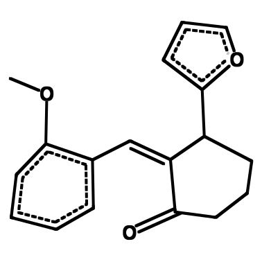 COc1ccccc1C=C1C(=O)CCCC1c1ccco1